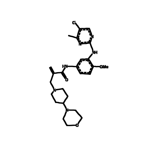 C=C(CN1CCC(N2CCOCC2)CC1)C(=O)Nc1ccc(OC)c(Nc2ncc(Cl)c(C)n2)c1